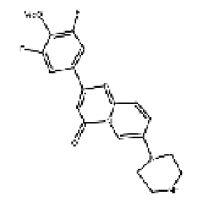 COc1c(F)cc(-c2cc(=O)n3cc(N4CCNCC4)ccc3n2)cc1F